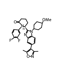 COC1CCC(n2c([C@@H]3CCCC(=O)N3c3ccc(F)c(F)c3)nc3cc(-c4c(C)noc4C)ccc32)CC1